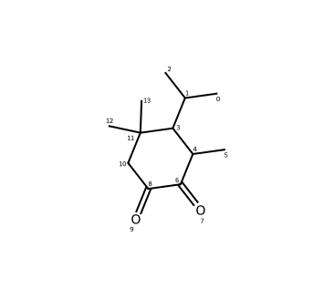 CC(C)C1C(C)C(=O)C(=O)CC1(C)C